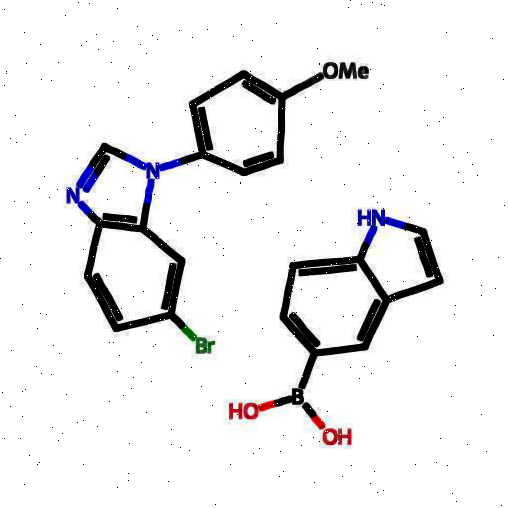 COc1ccc(-n2cnc3ccc(Br)cc32)cc1.OB(O)c1ccc2[nH]ccc2c1